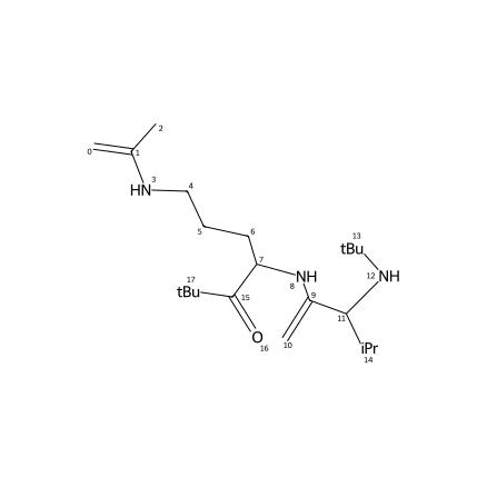 C=C(C)NCCCC(NC(=C)C(NC(C)(C)C)C(C)C)C(=O)C(C)(C)C